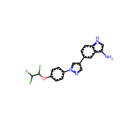 Nc1c[nH]c2ccc(-c3cnn(-c4ccc(OC(F)C(F)F)cc4)c3)cc12